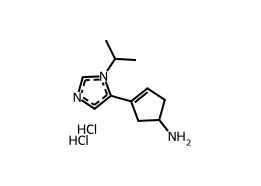 CC(C)n1cncc1C1=CCC(N)C1.Cl.Cl